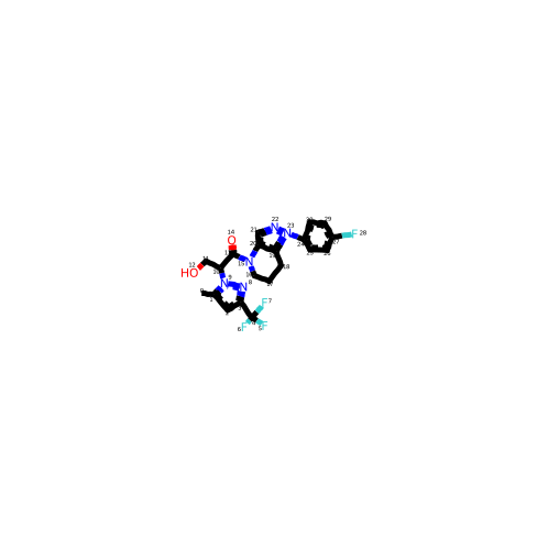 Cc1cc(C(F)(F)F)nn1C(CO)C(=O)N1CCCc2c1cnn2-c1ccc(F)cc1